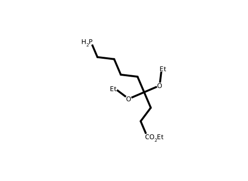 CCOC(=O)CCC(CCCCP)(OCC)OCC